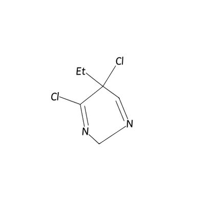 CCC1(Cl)C=NCN=C1Cl